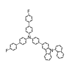 Fc1ccc(-c2ccc(N(c3ccc(-c4ccc(F)cc4)cc3)c3ccc(-c4ccc5c(c4)c4ccccc4n5-c4cccc5ccccc45)cc3)cc2)cc1